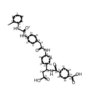 Cc1ccccc1NC(=O)Nc1ccc(CC(=O)Nc2ccc(C(CC(=O)O)NC(=O)c3ccc(C(=O)O)cc3)cn2)cc1